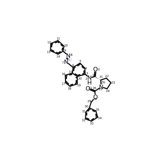 O=C(Nc1ccc(/N=N/c2ccccc2)c2ccccc12)[C@@H]1CCCN1C(=O)OCc1ccccc1